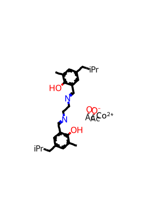 CC(=O)[O-].CC(=O)[O-].Cc1cc(CC(C)C)cc(C=NCCN=Cc2cc(CC(C)C)cc(C)c2O)c1O.[Co+2]